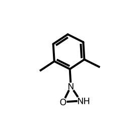 Cc1cccc(C)c1-n1[nH]o1